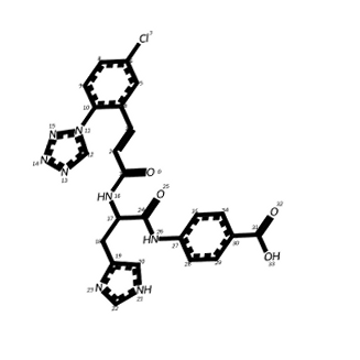 O=C(C=Cc1cc(Cl)ccc1-n1cnnn1)NC(Cc1c[nH]cn1)C(=O)Nc1ccc(C(=O)O)cc1